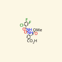 COC(=O)/C=C/c1cc(C(=O)O)ccc1NC(=O)NC(=O)c1cc(F)c(F)cc1Cl